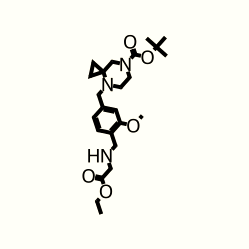 CCOC(=O)CNCc1ccc(CN2CCN(C(=O)OC(C)(C)C)CC23CC3)cc1OC